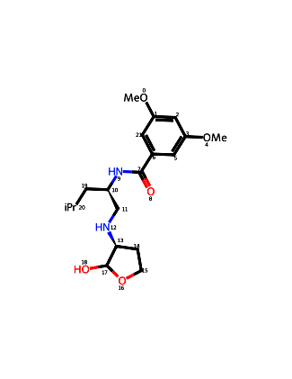 COc1cc(OC)cc(C(=O)N[C@@H](CN[C@H]2CCOC2O)CC(C)C)c1